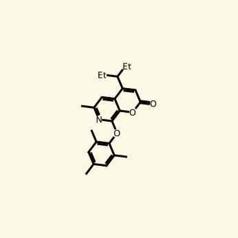 CCC(CC)c1cc(=O)oc2c(Oc3c(C)cc(C)cc3C)nc(C)cc12